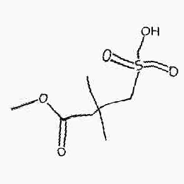 COC(=O)C(C)(C)CS(=O)(=O)O